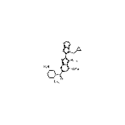 COc1cc(C(=O)N2C[C@@H](N)CC[C@H]2C)cc2nc(-c3cc4ccoc4n3CC3CC3)n(C)c12